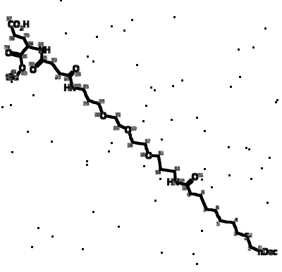 CCCCCCCCCCCSCCCCCCCC(=O)NCCCOCCOCCOCCCNC(=O)CCC(=O)NC(CCC(=O)O)C(=O)OC(C)(C)C